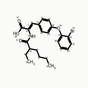 CCCCC(CC)C(=O)N/C(=C\c1ccc(Oc2ccccc2Br)cc1)C(=O)O